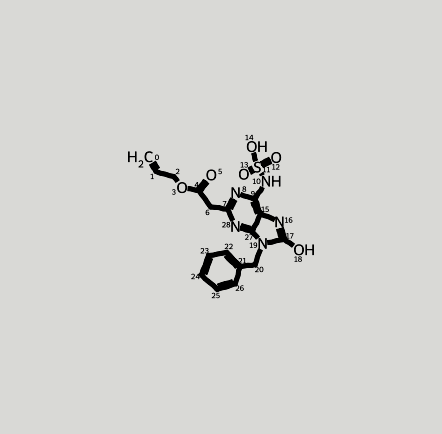 C=CCOC(=O)Cc1nc(NS(=O)(=O)O)c2nc(O)n(Cc3ccccc3)c2n1